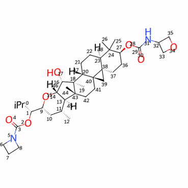 CC(C)[C@@H](OC(=O)N1CCC1)[C@H]1C[C@@H](C)[C@H]2[C@H](O1)[C@H](O)[C@@]1(C)[C@@H]3CC[C@H]4C(C)(C)[C@@H](OC(=O)NC5COC5)CC[C@@]45C[C@@]35CC[C@]21C